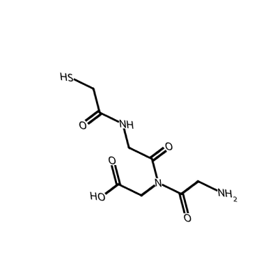 NCC(=O)N(CC(=O)O)C(=O)CNC(=O)CS